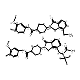 COc1cc(NC(=O)C2CCC(N3Cc4c(CN(C(=O)O)C(C)(C)C)cccc4C3=O)CC2)ccc1C.COc1cc(NC(=O)C2CCC(N3Cc4c(CN)cccc4C3=O)CC2)ccc1C